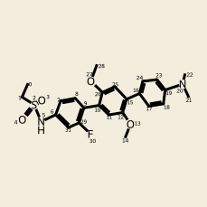 CCS(=O)(=O)Nc1ccc(-c2cc(OC)c(-c3ccc(N(C)C)cc3)cc2OC)c(F)c1